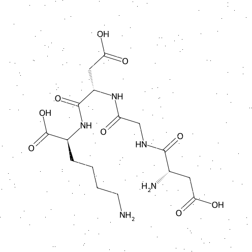 NCCCC[C@H](NC(=O)[C@H](CC(=O)O)NC(=O)CNC(=O)[C@@H](N)CC(=O)O)C(=O)O